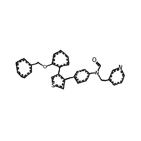 O=CN(Cc1cccnc1)c1ccc(-c2cscc2-c2ccccc2OCc2ccccc2)cc1